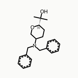 CC(C)(O)[C@@H]1CCC(N(Cc2ccccc2)Cc2ccccc2)CO1